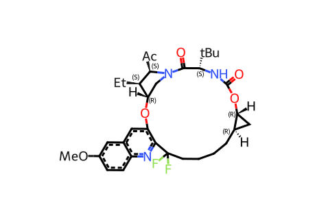 CC[C@@H]1[C@@H]2CN(C(=O)[C@H](C(C)(C)C)NC(=O)O[C@@H]3C[C@H]3CCCCC(F)(F)c3nc4ccc(OC)cc4cc3O2)[C@@H]1C(C)=O